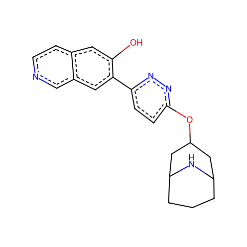 Oc1cc2ccncc2cc1-c1ccc(OC2CC3CCCC(C2)N3)nn1